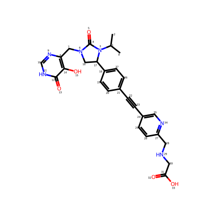 CC(C)N1C(=O)N(Cc2nc[nH]c(=O)c2O)CC1c1ccc(C#Cc2ccc(CNCC(=O)O)nc2)cc1